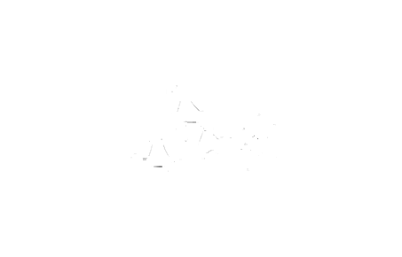 Oc1cccc(C2Oc3cc(O)ccc3CC2c2ccc(OC[C@H](C(F)F)N3CCCC3)cc2)c1